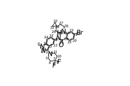 Cn1nc(N2CCC(F)(F)CC2)c2cc(NC(=O)c3ccc(Br)cc3N3CCC4(CC3)CC4)ccc21